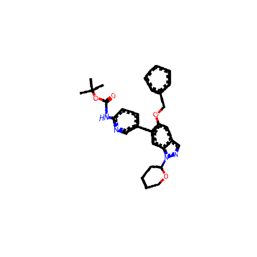 CC(C)(C)OC(=O)Nc1ccc(-c2cc3c(cnn3C3CCCCO3)cc2OCc2ccccc2)cn1